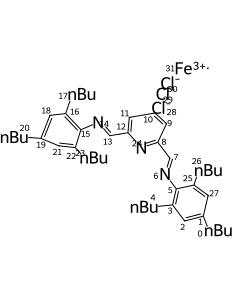 CCCCc1cc(CCCC)c(N=Cc2cccc(C=Nc3c(CCCC)cc(CCCC)cc3CCCC)n2)c(CCCC)c1.[Cl-].[Cl-].[Cl-].[Fe+3]